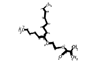 C=C(C)C(=O)OCCOC(CCCCC)CCCCCCC